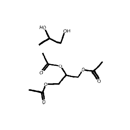 CC(=O)OCC(COC(C)=O)OC(C)=O.CC(O)CO